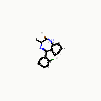 CC1N=C(c2ccccc2F)c2ccccc2NC1=S